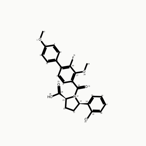 COc1ccc(-c2ccc(C(=O)N3[C@@H](c4ccccc4Cl)CC[C@H]3C(=O)O)c(OC)c2F)cc1